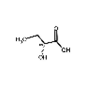 CC[C@@H](O)C(=O)O